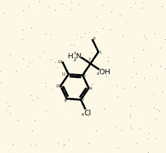 CCC(N)(O)c1cc(Cl)ccc1C